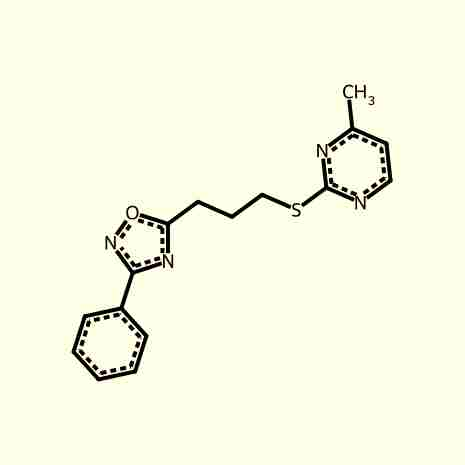 Cc1ccnc(SCCCc2nc(-c3ccccc3)no2)n1